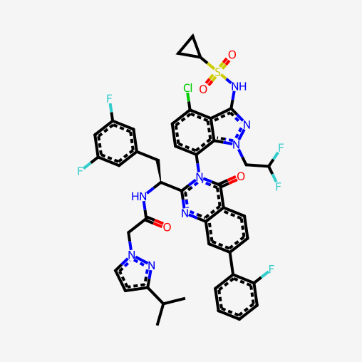 CC(C)c1ccn(CC(=O)N[C@@H](Cc2cc(F)cc(F)c2)c2nc3cc(-c4ccccc4F)ccc3c(=O)n2-c2ccc(Cl)c3c(NS(=O)(=O)C4CC4)nn(CC(F)F)c23)n1